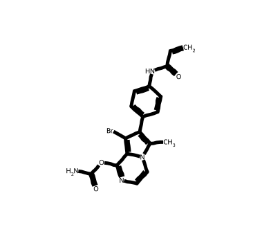 C=CC(=O)Nc1ccc(-c2c(Br)c3c(OC(N)=O)nccn3c2C)cc1